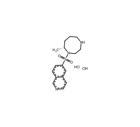 C[C@@H]1CCCNCCN1S(=O)(=O)c1ccc2cnccc2c1.Cl.Cl